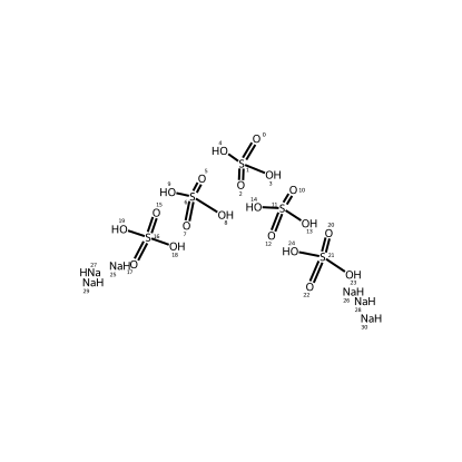 O=S(=O)(O)O.O=S(=O)(O)O.O=S(=O)(O)O.O=S(=O)(O)O.O=S(=O)(O)O.[NaH].[NaH].[NaH].[NaH].[NaH].[NaH]